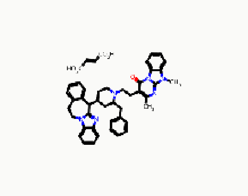 Cc1nc2n(C)c3ccccc3n2c(=O)c1CCN1CCC(C2c3ccccc3CCn3c2nc2ccccc23)CC1Cc1ccccc1.O=C(O)C=CC(=O)O